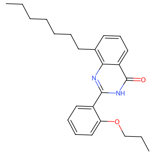 CCCCCCCc1cccc2c(=O)[nH]c(-c3ccccc3OCCC)nc12